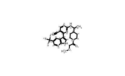 COCC(=O)N1CCC(C(C)Nc2ncc(C#N)c(-c3c[nH]c4ncc(C(F)(F)F)cc34)n2)CC1